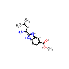 COC(=O)c1ccc2[nH]c(C(N)CC(C)C)nc2c1